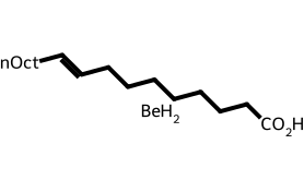 CCCCCCCCC=CCCCCCCCC(=O)O.[BeH2]